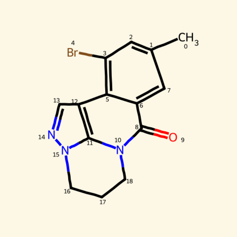 Cc1cc(Br)c2c(c1)c(=O)n1c3c2cnn3CCC1